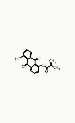 C=C(C)C(=O)Oc1cccc2c1C(=O)c1cccc(O)c1C2=O